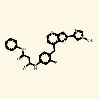 Cn1cnc(-c2cc3nccc(Cc4ccc(NC(CC(=O)Nc5ccccc5)C(F)(F)F)cc4F)c3s2)c1